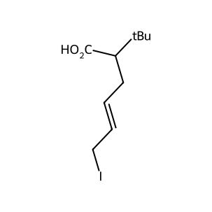 CC(C)(C)C(CC=CCI)C(=O)O